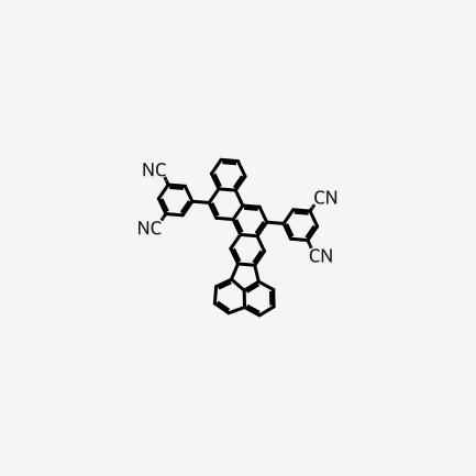 N#Cc1cc(C#N)cc(-c2cc3c4cc5c(cc4c(-c4cc(C#N)cc(C#N)c4)cc3c3ccccc23)-c2cccc3cccc-5c23)c1